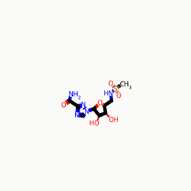 CS(=O)(=O)NCC1OC(n2cnc(C(N)=O)n2)[C@H](O)[C@@H]1O